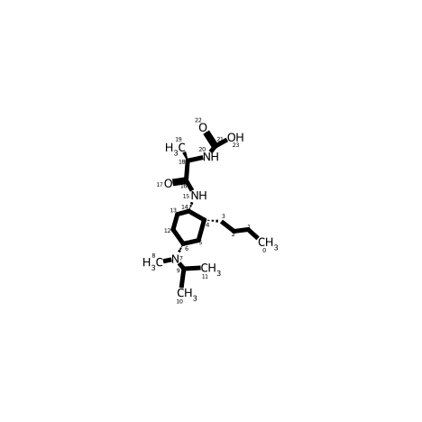 CCCC[C@@H]1C[C@H](N(C)C(C)C)CC[C@@H]1NC(=O)[C@@H](C)NC(=O)O